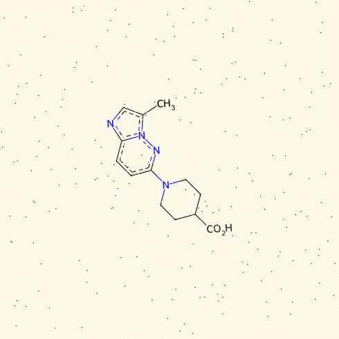 Cc1cnc2ccc(N3CCC(C(=O)O)CC3)nn12